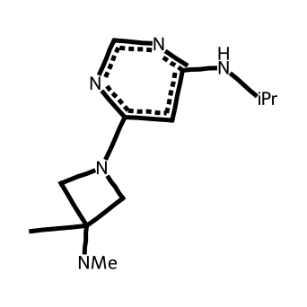 CNC1(C)CN(c2cc(NC(C)C)ncn2)C1